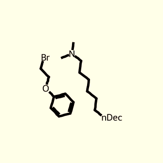 BrCCOc1ccccc1.CCCCCCCCCCCCCCCCN(C)C